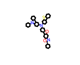 c1ccc(-c2nc3cc4oc5cc(N(c6ccc7c(c6)sc6ccccc67)c6ccc7c(c6)c6ccccc6n7-c6ccccc6)ccc5c4cc3o2)cc1